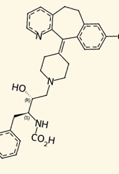 O=C(O)N[C@@H](Cc1ccccc1)[C@H](O)CN1CCC(=C2c3ccc(Cl)cc3CCc3cccnc32)CC1